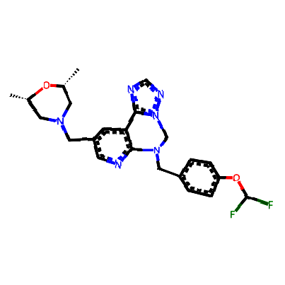 C[C@@H]1CN(Cc2cnc3c(c2)-c2ncnn2CN3Cc2ccc(OC(F)F)cc2)C[C@H](C)O1